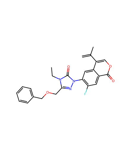 C=C(C)c1coc(=O)c2cc(F)c(-n3nc(COCc4ccccc4)n(CC)c3=O)cc12